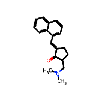 CN(C)CC1CC/C(=C\c2cccc3ccccc23)C1=O